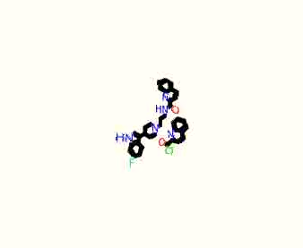 O=C(Cl)c1ccc2ccccc2n1.O=C(NCCCN1CCC(c2c[nH]c3cc(F)ccc23)CC1)c1ccc2ccccc2n1